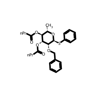 CCCC(=O)O[C@@H]1[C@@H](OC(=O)CCC)[C@H](C)O[C@@H](Sc2ccccc2)[C@@H]1OCc1ccccc1